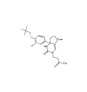 C[C@@H]1CCC2(c3ccc(CCC(C)(C)C)c(Cl)c3)NC(=O)N(CCC(=O)O)C=C12